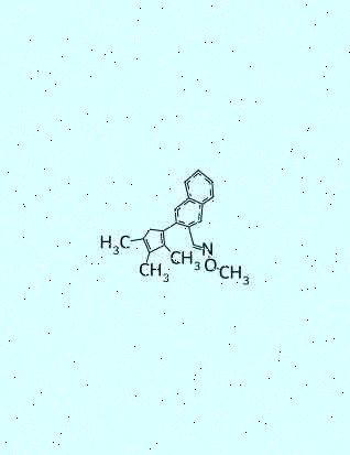 CON=Cc1cc2ccccc2cc1C1=C(C)C(C)=C(C)C1